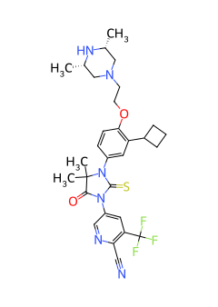 C[C@@H]1CN(CCOc2ccc(N3C(=S)N(c4cnc(C#N)c(C(F)(F)F)c4)C(=O)C3(C)C)cc2C2CCC2)C[C@H](C)N1